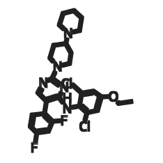 CCOc1cc(Cl)c(Nc2nc(N3CCC(N4CCCCC4)CC3)ncc2-c2ccc(F)cc2F)c(Cl)c1